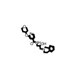 O=C(NCC(O)CN1CCc2ccccc2C1)c1ccnc(OC2CCOCC2)c1